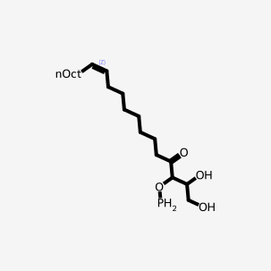 CCCCCCCC/C=C\CCCCCCCC(=O)C(OP)C(O)CO